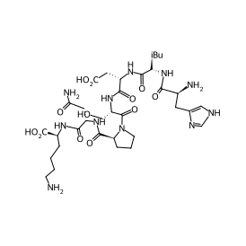 CC[C@H](C)[C@H](NC(=O)[C@@H](N)Cc1c[nH]cn1)C(=O)N[C@@H](CC(=O)O)C(=O)N[C@@H](CO)C(=O)N1CCC[C@H]1C(=O)N[C@@H](CC(N)=O)C(=O)N[C@@H](CCCCN)C(=O)O